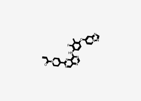 C=CC(=O)N1CC=C(c2ncc3ncnc(Nc4ccc(Oc5ccn6ncnc6c5)c(C)c4F)c3n2)CC1